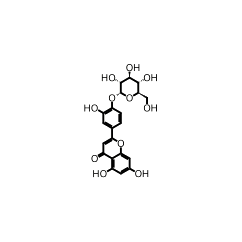 O=c1cc(-c2ccc(O[C@H]3O[C@H](CO)[C@@H](O)[C@H](O)[C@H]3O)c(O)c2)oc2cc(O)cc(O)c12